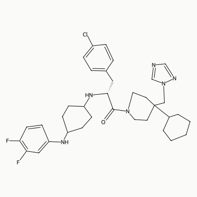 O=C([C@@H](Cc1ccc(Cl)cc1)NC1CCC(Nc2ccc(F)c(F)c2)CC1)N1CCC(Cn2cncn2)(C2CCCCC2)CC1